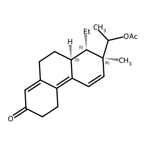 CC[C@H]1[C@@H]2CCC3=CC(=O)CCC3=C2C=C[C@]1(C)C(C)OC(C)=O